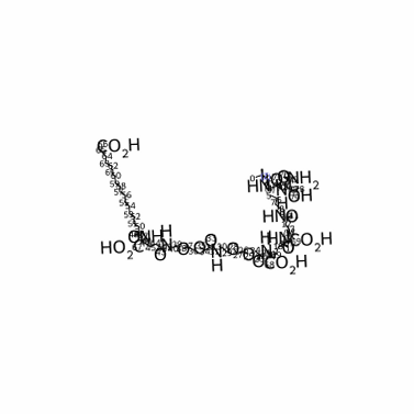 C/I=I\N[C@@H](CCCCNC(=O)CC[C@H](NC(=O)CC[C@H](NC(=O)COCCOCCNC(=O)COCCOCCNC(=O)CC[C@H](NC(=O)CCCCCCCCCCCCCCCCC(=O)O)C(=O)O)C(=O)O)C(=O)O)C(=O)N[C@H](C(N)=O)[C@@H](C)O